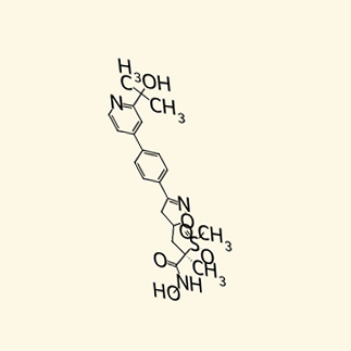 CC(C)(O)c1cc(-c2ccc(C3=NOC(C[C@](C)(C(=O)NO)S(C)(=O)=O)C3)cc2)ccn1